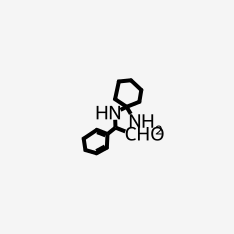 NC1(NC(C=O)C2=CCCC=C2)CCCCC1